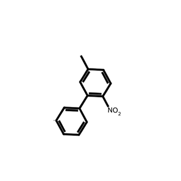 Cc1ccc([N+](=O)[O-])c(-c2c[c]ccc2)c1